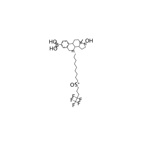 C[C@]12CCC3c4ccc(B(O)O)cc4C[C@@H](CCCCCCCCC[S+]([O-])CCCC(F)(F)C(F)(F)F)C3C1CC[C@@H]2O